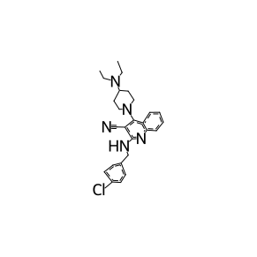 CCN(CC)C1CCN(c2c(C#N)c(NCc3ccc(Cl)cc3)nc3ccccc23)CC1